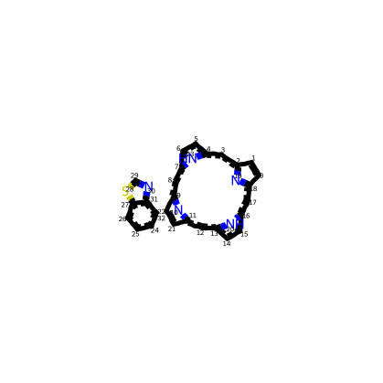 C1=Cc2cc3ccc(cc4nc(cc5ccc(cc1n2)[nH]5)C=C4)[nH]3.c1ccc2scnc2c1